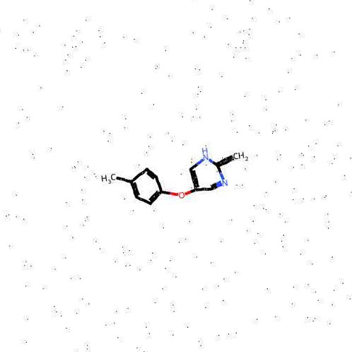 C=C1N=CC(Oc2ccc(C)cc2)=CN1